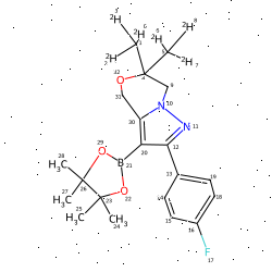 [2H]C([2H])([2H])C1(C([2H])([2H])[2H])Cn2nc(-c3ccc(F)cc3)c(B3OC(C)(C)C(C)(C)O3)c2CO1